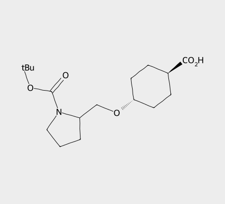 CC(C)(C)OC(=O)N1CCCC1CO[C@H]1CC[C@H](C(=O)O)CC1